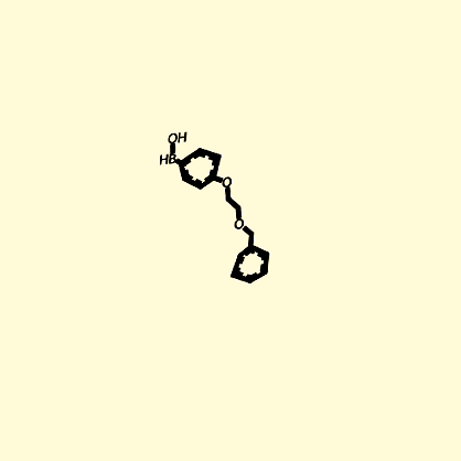 OBc1ccc(OCCOCc2ccccc2)cc1